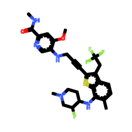 CNC(=O)c1cc(OC)c(NCC#Cc2sc3c(NC4CCN(C)CC4F)c(C)ccc3c2CC(F)(F)F)cn1